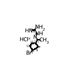 CC(=NNC(=N)N)c1ccc(Br)cc1.Cl